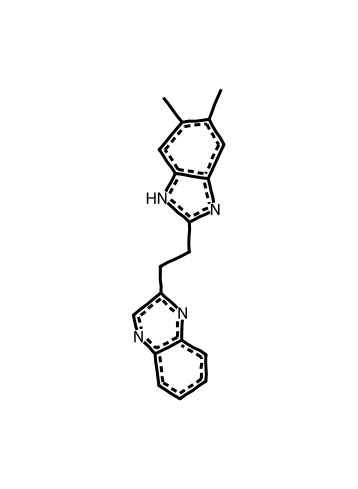 Cc1cc2nc(CCc3cnc4ccccc4n3)[nH]c2cc1C